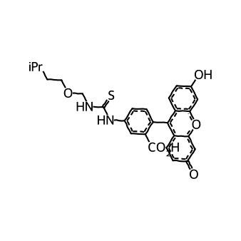 CC(C)CCOCNC(=S)Nc1ccc(-c2c3ccc(=O)cc-3oc3cc(O)ccc23)c(C(=O)O)c1